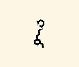 C=Cc1cccc(CCCOC2CCCCO2)c1